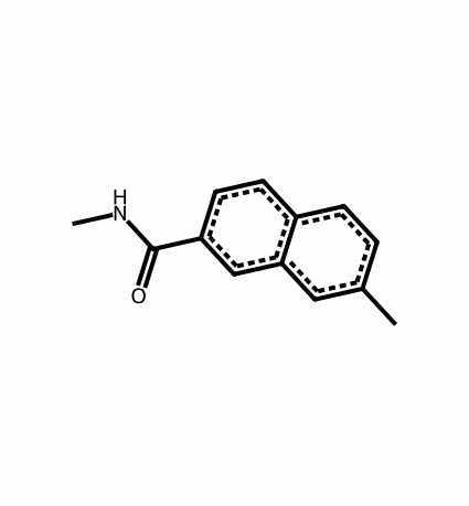 CNC(=O)c1ccc2ccc(C)cc2c1